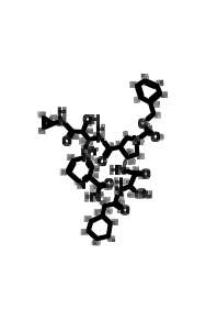 CCC[C@H](NC(=O)C1CN(C(=O)OCc2ccccc2)C[C@@H]1NC(=O)C(NC(=O)[C@@H](NC(=O)c1cnccn1)C1CCCCC1)C(C)(C)C)C(O)C(=O)NC1CC1